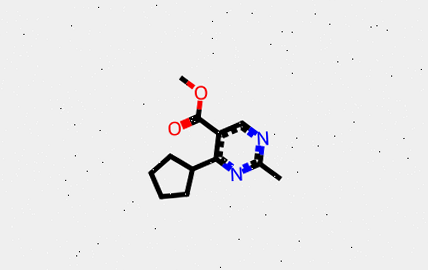 COC(=O)c1cnc(C)nc1C1CCCC1